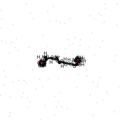 [N-]=[N+]=NCOC1CC(n2cc(C#CCNC(=O)COCCOC(COc3cccc(C(=O)NCCNC(=O)CCOCCOCCNC(=O)c4ccc(C(=O)O)c(-c5c6ccc(=N)c(S(=O)(=O)O)c-6oc6c(SOOO)c(N)ccc56)c4)c3)N=[N+]=[N-])c3c(=O)[nH]c(N)nc32)OC1COP(=O)(O)OP(=O)(O)OP(=O)(O)O